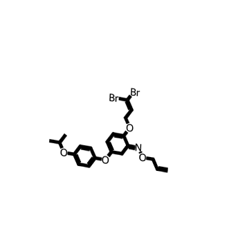 C=CCON=C1CC(Oc2ccc(OC(C)C)cc2)=CC=C1OCC=C(Br)Br